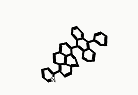 c1ccc(-c2c3ccccc3c(-c3ccc4ccc5c(-c6ccccn6)ccc6ccc3c4c65)c3ccccc23)cc1